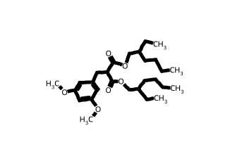 CCCCC(CC)COC(=O)C(Cc1cc(OC)cc(OC)c1)C(=O)OCC(CC)CCCC